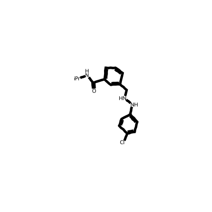 CC(C)NC(=O)c1cccc(CNNc2ccc(Cl)cc2)c1